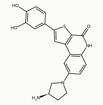 N[C@@H]1CCN(c2ccc3[nH]c(=O)c4sc(-c5ccc(O)c(O)c5)cc4c3c2)C1